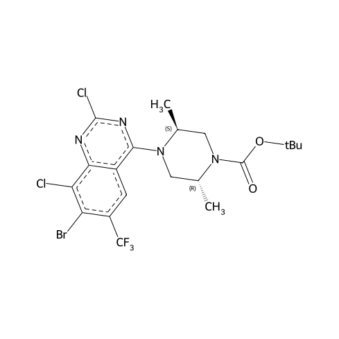 C[C@@H]1CN(c2nc(Cl)nc3c(Cl)c(Br)c(C(F)(F)F)cc23)[C@@H](C)CN1C(=O)OC(C)(C)C